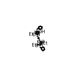 CCOC1=N[C@H](Cc2ccccc2)C(O)=N[C@H]1CSSC[C@@H]1N=C(OCC)[C@@H](Cc2ccccc2)N=C1OCC